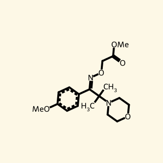 COC(=O)CON=C(c1ccc(OC)cc1)C(C)(C)N1CCOCC1